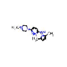 Cc1ccc(C)n1Nc1ccc(N2CCN(C)CC2)nn1